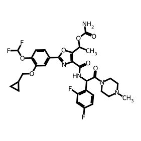 CC(OC(N)=O)c1oc(-c2ccc(OC(F)F)c(OCC3CC3)c2)nc1C(=O)NC(C(=O)N1CCN(C)CC1)c1ccc(F)cc1F